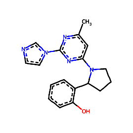 Cc1cc(N2CCCC2c2ccccc2O)nc(-n2ccnc2)n1